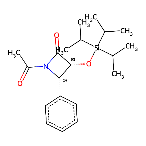 CC(=O)N1C(=O)[C@H](O[Si](C(C)C)(C(C)C)C(C)C)[C@@H]1c1ccccc1